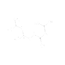 CC(O)OC(C)SSC(C)OC(C)O